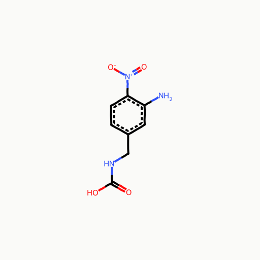 Nc1cc(CNC(=O)O)ccc1[N+](=O)[O-]